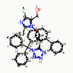 CCCCc1nc(Cl)c(CO)n1-c1ccc(-c2ccccc2)c(-c2nnnn2C(c2ccccc2)(c2ccccc2)c2ccccc2)c1